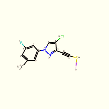 Cc1cc(F)cc(-n2cc(Cl)c(C#CSI)n2)c1